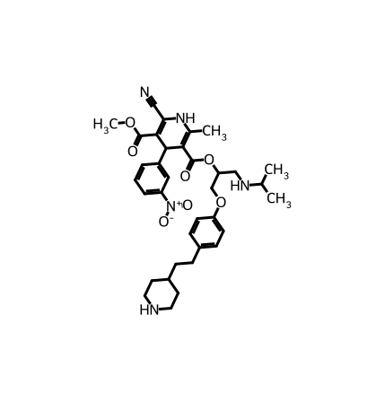 COC(=O)C1=C(C#N)NC(C)=C(C(=O)OC(CNC(C)C)COc2ccc(CCC3CCNCC3)cc2)C1c1cccc([N+](=O)[O-])c1